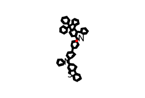 c1ccc(N(c2ccc(-c3ccc(-c4nc5ccccc5c5c6c(ccc45)C(c4ccccc4)(c4ccccc4)c4ccccc4-6)cc3)cc2)c2ccc3c(c2)sc2ccccc23)cc1